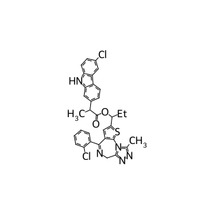 CCC(OC(=O)C(C)c1ccc2c(c1)[nH]c1ccc(Cl)cc12)c1cc2c(s1)-n1c(C)nnc1CN=C2c1ccccc1Cl